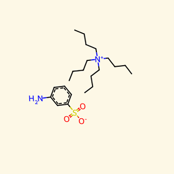 CCCC[N+](CCCC)(CCCC)CCCC.Nc1cccc(S(=O)(=O)[O-])c1